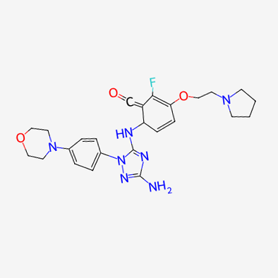 Nc1nc(NC2C=CC(OCCN3CCCC3)=C(F)C2=C=O)n(-c2ccc(N3CCOCC3)cc2)n1